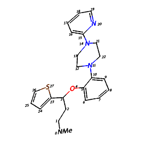 CNCCC(Oc1ccccc1N1CCN(c2ccccn2)CC1)c1cccs1